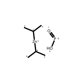 C[CH](C)[Zn][CH](C)C.O=PO